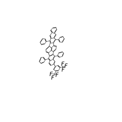 FC(F)(F)c1cc(-c2ccc3c(-c4ccccc4)c4c(c(-c5ccccc5)c3c2)-c2ccc3c5c(ccc-4c25)-c2c-3c(-c3ccccc3)c3cc4ccccc4cc3c2-c2ccccc2)cc(C(F)(F)F)c1